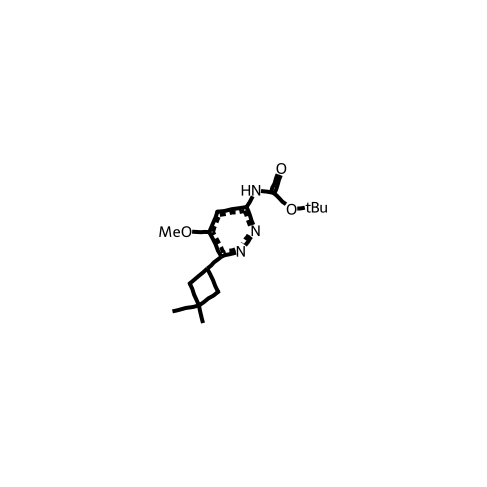 COc1cc(NC(=O)OC(C)(C)C)nnc1C1CC(C)(C)C1